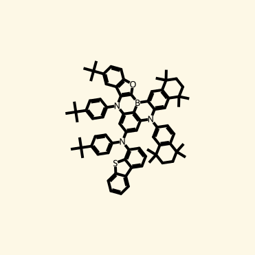 CC(C)(C)c1ccc(N2c3cc(N(c4ccc(C(C)(C)C)cc4)c4cccc5c4sc4ccccc45)cc4c3B(c3cc5c(cc3N4c3ccc4c(c3)C(C)(C)CCC4(C)C)C(C)(C)CCC5(C)C)c3oc4ccc(C(C)(C)C)cc4c32)cc1